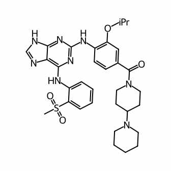 CC(C)Oc1cc(C(=O)N2CCC(N3CCCCC3)CC2)ccc1Nc1nc(Nc2ccccc2S(C)(=O)=O)c2nc[nH]c2n1